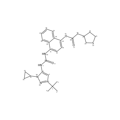 CC(C)(C)c1cc(NC(=O)Nc2ccc(OC(=O)CC3CCSC3)c3ccccc23)n(C2CC2)n1